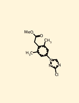 COC(=O)Cc1c(C)cc(-n2cnc(Cl)n2)cc1C